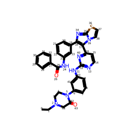 CCN1CCN(c2cccc(Nc3nccc(-c4c(-c5cccc(NC(=O)c6ccccc6)c5)nc5sccn45)n3)c2)C(=O)C1